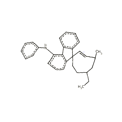 CCC1CCC2(/C=C/C(C)C1)c1ccccc1-c1c(Nc3ccccc3)cccc12